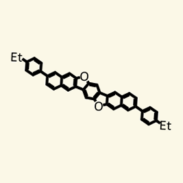 CCc1ccc(-c2ccc3cc4c(cc3c2)oc2cc3c(cc24)oc2cc4cc(-c5ccc(CC)cc5)ccc4cc23)cc1